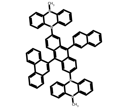 CN1c2ccccc2N(c2ccc3c(-c4cc5ccccc5c5ccccc45)c4cc(N5c6ccccc6N(C)c6ccccc65)ccc4c(-c4ccc5ccccc5c4)c3c2)c2ccccc21